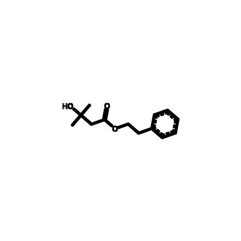 CC(C)(O)CC(=O)OCCc1ccccc1